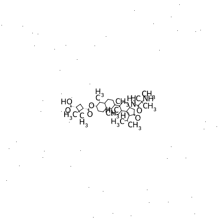 CNC(C)(C)C(=O)N[C@@]12CC[C@]3(C)[C@H](CCC4[C@@]5(C)CC[C@H](OC(=O)[C@H]6C[C@@H](C(=O)O)C6(C)C)[C@H](C)C5CC[C@]43C)C1=C(C(C)C)C(=O)C2